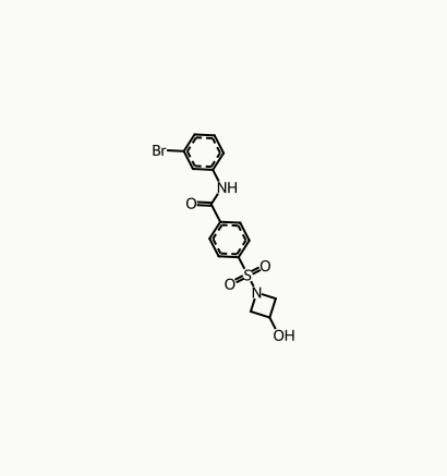 O=C(Nc1cccc(Br)c1)c1ccc(S(=O)(=O)N2CC(O)C2)cc1